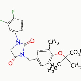 CCOC(=O)C(C)(C)Oc1c(C)cc(CN2C(=O)CN(c3ccc(F)c(Cl)c3)C2=O)cc1C